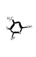 CCc1c(C)cc(O)nc1O